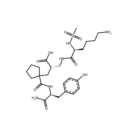 CS(=O)(=O)N[C@@H](CCCCN)C(=O)NC[C@H](CC1(C(=O)N[C@@H](Cc2ccc(O)cc2)C(N)=O)CCCC1)C(=O)O